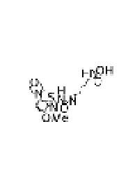 COc1ccc(N2CCOCC2)c2sc(NC(=O)N(C)CCCCCC(=O)NO)nc12